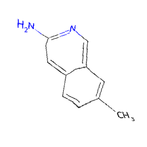 Cc1ccc2cc(N)ncc2c1